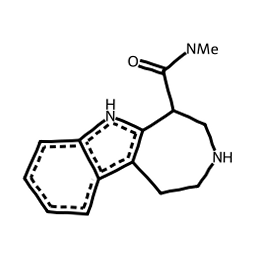 CNC(=O)C1CNCCc2c1[nH]c1ccccc21